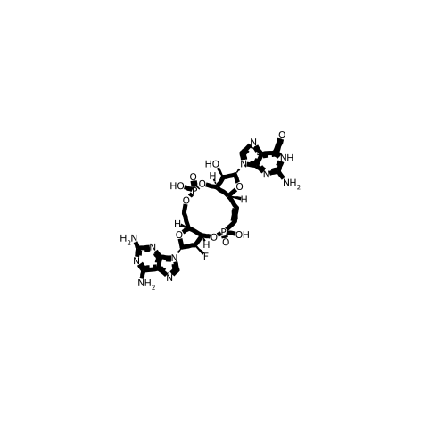 Nc1nc(N)c2ncn([C@@H]3O[C@@H]4COP(=O)(O)O[C@H]5[C@@H](O)[C@H](n6cnc7c(=O)[nH]c(N)nc76)O[C@@H]5/C=C\P(=O)(O)O[C@H]4[C@H]3F)c2n1